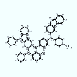 Cc1ccc(N(c2ccc3c(c2)Oc2cccc4c2B3c2cc3c5ccccc5n(C5=CC=CCC5)c3cc2N4c2ccccc2)c2ccc3oc4ccccc4c3c2)cc1